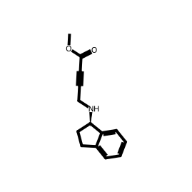 COC(=O)C#CCN[C@@H]1CCc2ccccc21